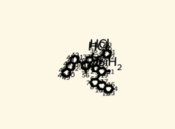 CC1=Cc2c(-c3cccc4cc5ccccc5cc34)cc(C)cc2[CH]1[Zr](=[SiH2])([CH2]c1ccccc1)[CH]1C(C)=Cc2c(-c3cccc4cc5ccccc5cc34)cc(C)cc21.Cl.Cl